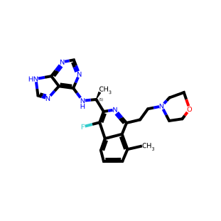 Cc1cccc2c(F)c([C@H](C)Nc3ncnc4[nH]cnc34)nc(CCN3CCOCC3)c12